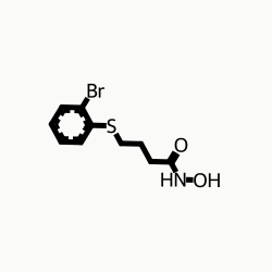 O=C(CCCSc1ccccc1Br)NO